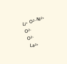 [La+3].[Li+].[Ni+2].[O-2].[O-2].[O-2]